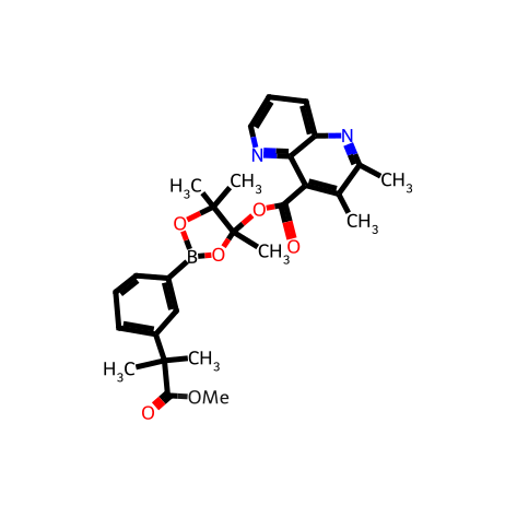 COC(=O)C(C)(C)c1cccc(B2OC(C)(C)C(C)(OC(=O)c3c(C)c(C)nc4cccnc34)O2)c1